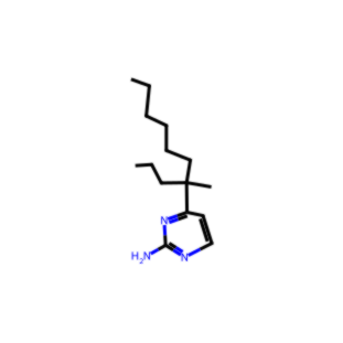 CCCCCCC(C)(CCC)c1ccnc(N)n1